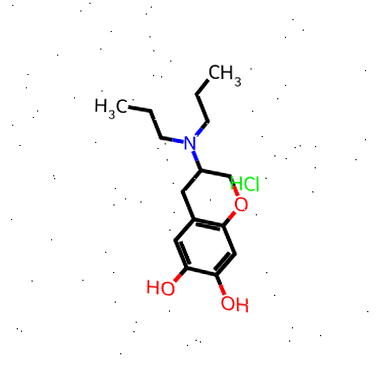 CCCN(CCC)C1COc2cc(O)c(O)cc2C1.Cl